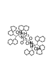 CC(C)(C(=O)NCC(O)(Cc1cccc2ccccc12)C(c1cccc2ccccc12)c1cccc2ccccc12)C(=O)NCC(O)(Cc1cccc2ccccc12)C(c1cccc2ccccc12)c1cccc2ccccc12